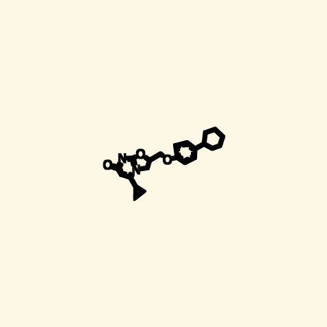 O=c1cc(C2CC2)n2c(n1)OC(COc1ccc(C3CCCCC3)cc1)C2